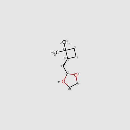 CC1(C)CC[C@H]1CC1OCCO1